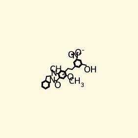 C=Nc1cc(CCc2cc(CO)cc([N+](=O)[O-])c2)c(OC)cc1C(=O)N1CCc2ccccc21